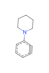 c1cccc(N2CCCCC2)c#1